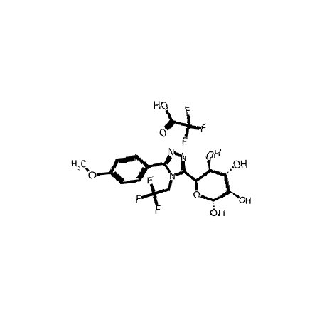 COc1ccc(-c2nnc(C3O[C@@H](O)[C@H](O)[C@@H](O)[C@@H]3O)n2CC(F)(F)F)cc1.O=C(O)C(F)(F)F